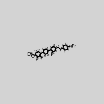 CCCC1CC=C(CCc2ccc(-c3ccc(-c4ccc(OCC)c(F)c4F)cc3)c(F)c2)CC1